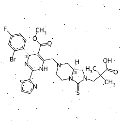 COC(=O)C1=C(CN2CCN3C(=S)N(CC(C)(C)C(=O)O)C[C@@H]3C2)NC(c2nccs2)=N[C@@H]1c1ccc(F)cc1Br